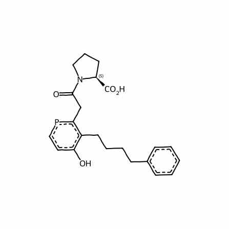 O=C(O)[C@@H]1CCCN1C(=O)Cc1pccc(O)c1CCCCc1ccccc1